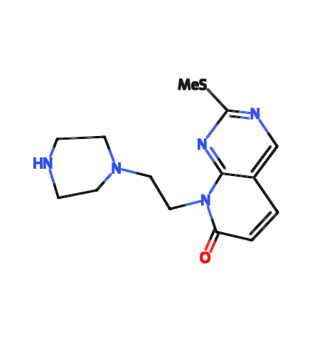 CSc1ncc2ccc(=O)n(CCN3CCNCC3)c2n1